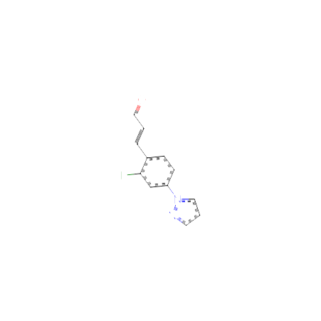 O=C/C=C/c1ccc(-n2cccn2)cc1F